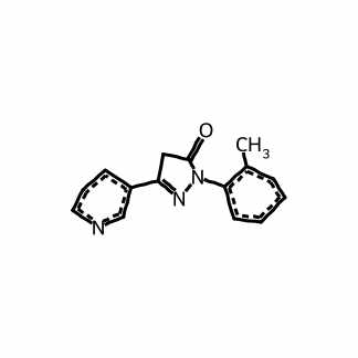 Cc1ccccc1N1N=C(c2cccnc2)CC1=O